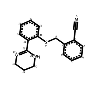 N#Cc1ccccc1CSc1ccccc1C1=NCCCN1